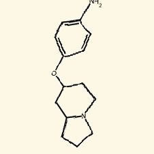 Nc1ccc(OC2CCN3CCCC3C2)cc1